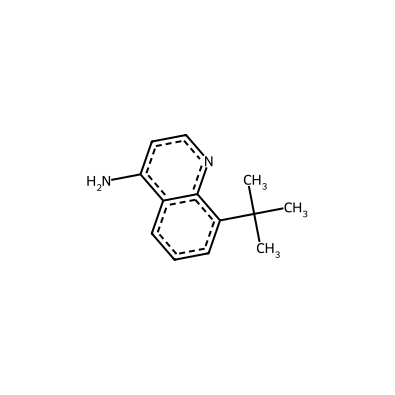 CC(C)(C)c1cccc2c(N)ccnc12